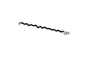 OCCCCCCCCCCCCCCCCCCCF